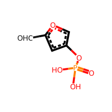 O=Cc1cc(OP(=O)(O)O)co1